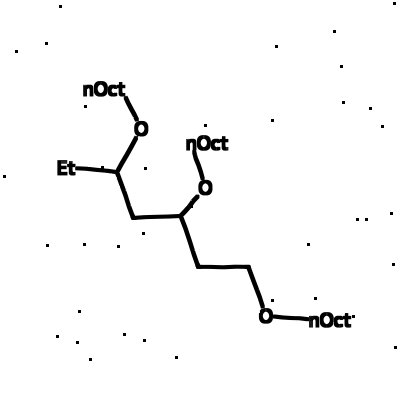 CCCCCCCCOCCC(CC(CC)OCCCCCCCC)OCCCCCCCC